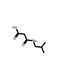 CC(C)CNC(=O)CC(=O)O